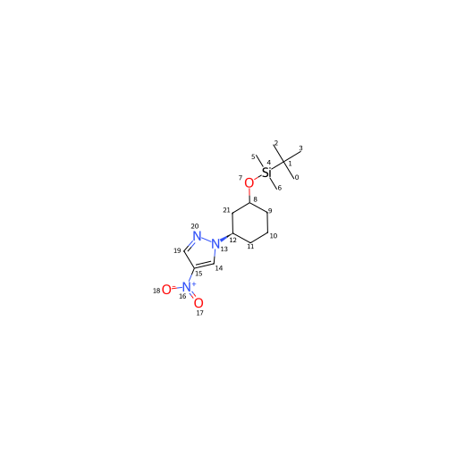 CC(C)(C)[Si](C)(C)OC1CCC[C@@H](n2cc([N+](=O)[O-])cn2)C1